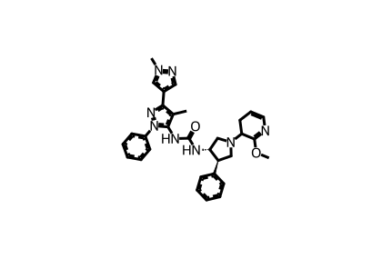 COC1=NC=CCC1N1C[C@@H](NC(=O)Nc2c(C)c(-c3cnn(C)c3)nn2-c2ccccc2)[C@H](c2ccccc2)C1